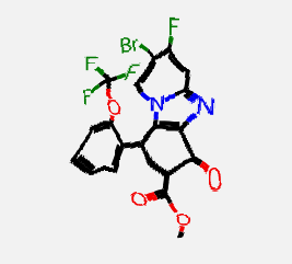 COC(=O)C1C(=O)c2nc3cc(F)c(Br)cn3c2C1c1ccccc1OC(F)(F)F